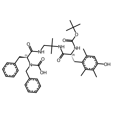 Cc1cc(O)c(C)c(C)c1C[C@@H](NC(=O)OC(C)(C)C)C(=O)NC(C)(C)CNC(=O)[C@H](Cc1ccccc1)N(Cc1ccccc1)C(=O)O